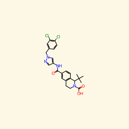 CC(C)(C)C1c2ccc(C(=O)Nc3cnn(Cc4ccc(Cl)c(Cl)c4)c3)cc2CCN1C(=O)O